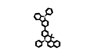 CC1(C)c2cc(-c3ccc4c(c3)C3C=CC=CC3N4c3ccccc3)ccc2N(c2ccccc2)c2ccc3ccccc3c21